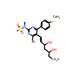 CC(C)c1nc(N(C)S(C)(=O)=O)nc(-c2ccc(F)cc2)c1C=CC(O)CC(O)CC(=O)O.[CaH2]